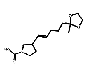 CC1(CCCC=CC2CCN(C(=O)O)C2)OCCO1